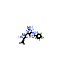 Nc1nc(NCc2ccc(F)cc2)c([N+](=O)[O-])c(-c2cc(C3CC3)[nH]n2)n1